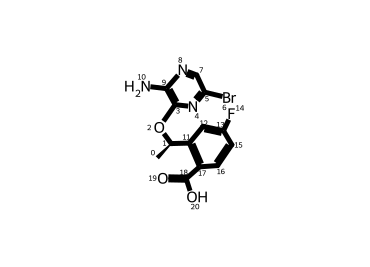 C[C@@H](Oc1nc(Br)cnc1N)c1cc(F)ccc1C(=O)O